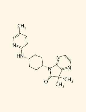 Cc1ccc(N[C@H]2CC[C@@H](N3C(=O)C(C)(C)c4nccnc43)CC2)nc1